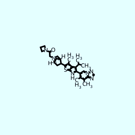 Cc1c(-c2[nH]c3sc(C4C[C@@H]5C[C@H]4CN5CC(=O)N4CCC4)c(C)c3c2C(C)C)cn2ncnc2c1C